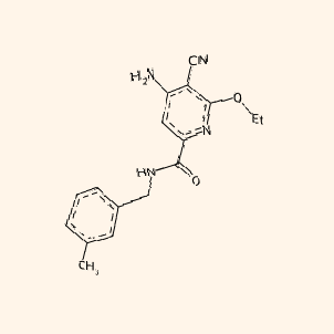 CCOc1nc(C(=O)NCc2cccc(C)c2)cc(N)c1C#N